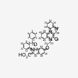 O=C(c1ccccc1)c1ccccc1NC(Cc1ccc(OCCN(C(=O)c2cnc3ccccc3n2)c2ccccc2)cc1)C(=O)O